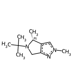 C[C@@H]1c2cn(C)nc2CN1C(C)(C)C